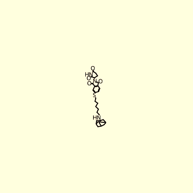 O=C1CCC(N2C(=O)c3ccc(SCCCCCCCNC45CC6CC(CC(C6)C4)C5)cc3C2=O)C(=O)N1